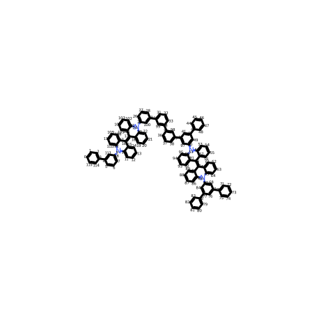 c1ccc(-c2cccc(N3c4ccccc4C(=C4c5ccccc5N(c5cccc(-c6cccc(-c7cccc(-c8cc(-c9ccccc9)cc(N9c%10ccccc%10C(=C%10c%11ccccc%11N(c%11cc(-c%12ccccc%12)cc(-c%12ccccc%12)c%11)c%11ccccc%11%10)c%10ccccc%109)c8)c7)c6)c5)c5ccccc54)c4ccccc43)c2)cc1